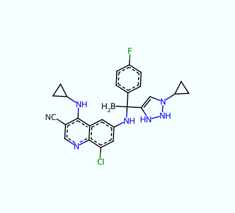 BC(Nc1cc(Cl)c2ncc(C#N)c(NC3CC3)c2c1)(C1=CN(C2CC2)NN1)c1ccc(F)cc1